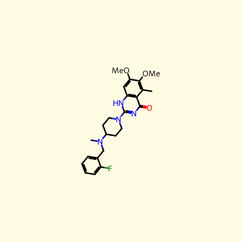 COc1cc2[nH]c(N3CCC(N(C)Cc4ccccc4F)CC3)nc(=O)c2c(C)c1OC